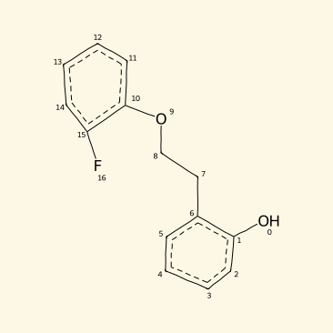 Oc1ccccc1CCOc1ccccc1F